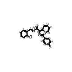 O=C(NCc1ccccc1Cl)c1nc(-c2ccc(F)cc2)n2ccccc12